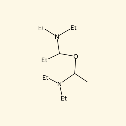 CCC(OC(C)N(CC)CC)N(CC)CC